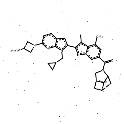 COc1cc(C(=O)N2CC3CC4CC2[C@H]43)cn2nc(-c3cc4ccc(N5CC(OC)C5)nc4n3CC3CC3)c(C)c12